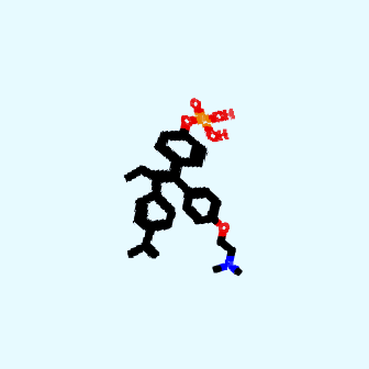 CCC(=C(c1ccc(OCCN(C)C)cc1)c1ccc(OP(=O)(O)O)cc1)c1ccc(C(C)C)cc1